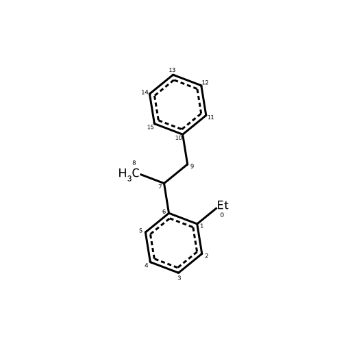 CCc1ccccc1C(C)Cc1ccccc1